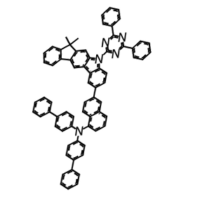 CC1(C)c2ccccc2-c2cc3c4cc(-c5ccc6c(N(c7ccc(-c8ccccc8)cc7)c7ccc(-c8ccccc8)cc7)cccc6c5)ccc4n(-c4nc(-c5ccccc5)nc(-c5ccccc5)n4)c3cc21